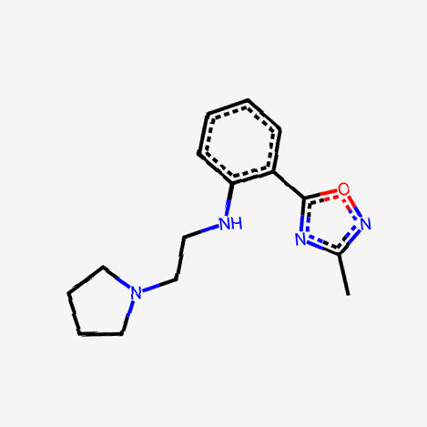 Cc1noc(-c2ccccc2NCCN2CCCC2)n1